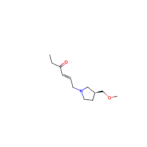 CCC(=O)/C=C/CN1CC[C@H](COC)C1